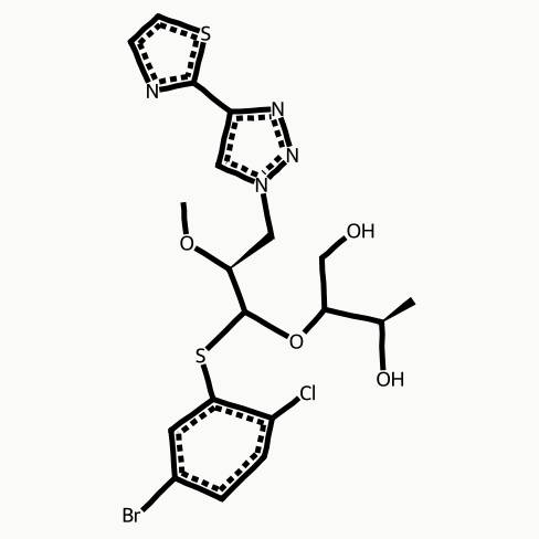 CO[C@@H](Cn1cc(-c2nccs2)nn1)C(OC(CO)[C@@H](C)O)Sc1cc(Br)ccc1Cl